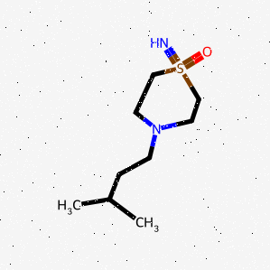 CC(C)CCN1CCS(=N)(=O)CC1